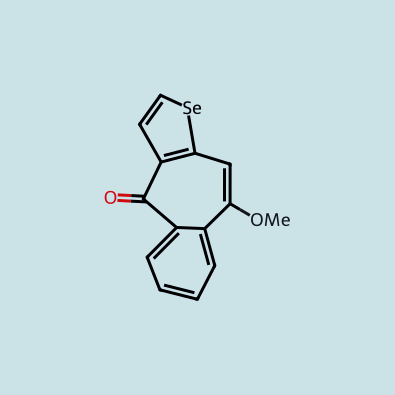 COc1cc2[se]ccc2c(=O)c2ccccc12